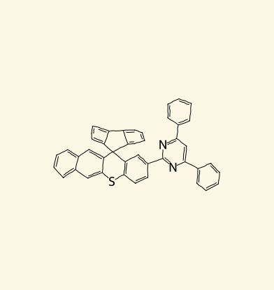 c1ccc(-c2cc(-c3ccccc3)nc(-c3ccc4c(c3)C3(c5cc6ccccc6cc5S4)c4ccccc4-c4ccccc43)n2)cc1